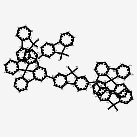 CC1(C)c2ccccc2-c2cc(N(c3ccc4c(c3)C(C)(C)c3cc(-c5cc6c(c(N(c7ccc8c(c7)C(C)(C)c7ccccc7-8)c7cccc8c7C(C)(C)c7ccccc7-8)c5)C5(c7ccccc7-c7ccccc75)c5ccccc5-6)ccc3-4)c3cccc4c3C3(c5ccccc5-c5ccccc53)c3ccccc3-4)ccc21